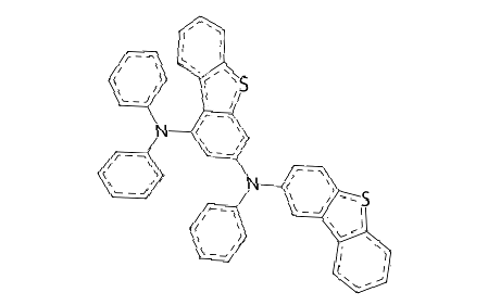 c1ccc(N(c2cc(N(c3ccccc3)c3ccccc3)c3c(c2)sc2ccccc23)c2ccc3sc4ccccc4c3c2)cc1